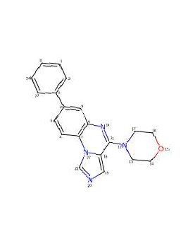 c1ccc(-c2ccc3c(c2)nc(N2CCOCC2)c2cncn23)cc1